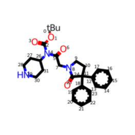 CC(C)(C)OC(=O)N(C(=O)CN1CCC(c2ccccc2)(c2ccccc2)C1=O)C1CCNCC1